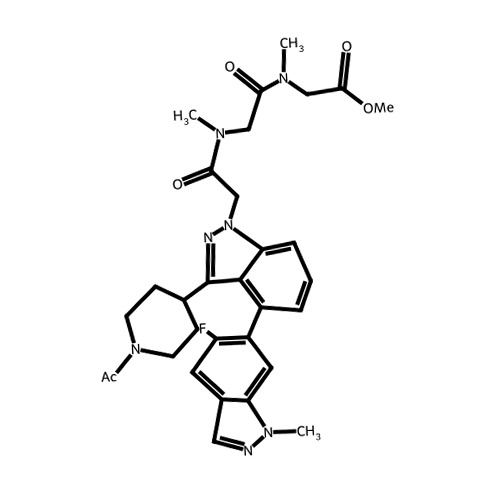 COC(=O)CN(C)C(=O)CN(C)C(=O)Cn1nc(C2CCN(C(C)=O)CC2)c2c(-c3cc4c(cnn4C)cc3F)cccc21